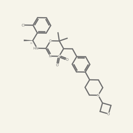 C[C@H](NC1=NS(=O)(=O)C(Cc2ccc(C3CCN(C4COC4)CC3)cc2)C(C)(C)O1)c1ccccc1Cl